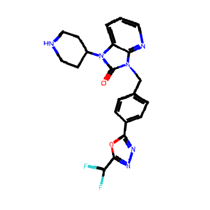 O=c1n(Cc2ccc(-c3nnc(C(F)F)o3)cc2)c2ncccc2n1C1CCNCC1